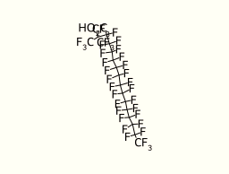 O=C(O)C(F)(C(F)(F)C(F)(F)C(F)(F)C(F)(F)C(F)(F)C(F)(F)C(F)(F)C(F)(F)C(F)(F)C(F)(F)C(F)(F)C(F)(F)C(F)(F)F)C(C(F)(F)F)(C(F)(F)F)C(F)(F)F